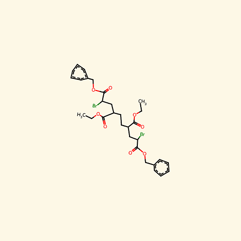 CCOC(=O)C(CCC(CC(Br)C(=O)OCc1ccccc1)C(=O)OCC)CC(Br)C(=O)OCc1ccccc1